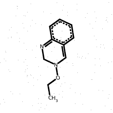 CCON1C=c2ccccc2=NC1